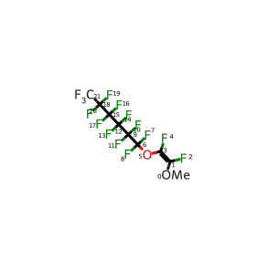 CO/C(F)=C(/F)OC(F)(F)C(F)(F)C(F)(F)C(F)(F)C(F)(F)C(F)(F)F